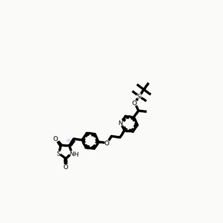 CC(O[Si](C)(C)C(C)(C)C)c1ccc(CCOc2ccc(/C=C3\NC(=O)SC3=O)cc2)nc1